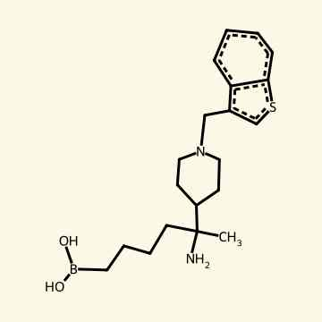 CC(N)(CCCCB(O)O)C1CCN(Cc2csc3ccccc23)CC1